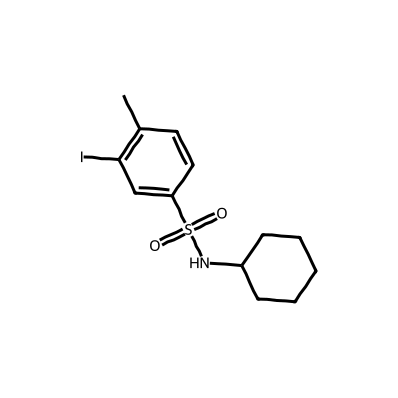 Cc1ccc(S(=O)(=O)NC2CCCCC2)cc1I